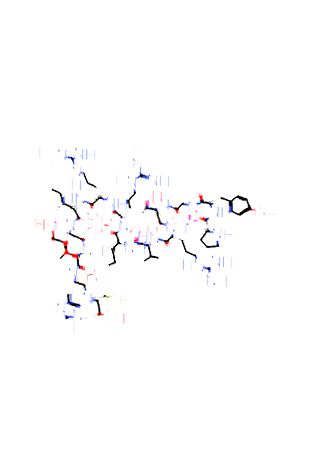 CC[C@H](C)[C@H](NC(=O)[C@H](CCCNC(=N)N)NC(=O)[C@H](CCCNC(=N)N)NC(=O)[C@@H](NC(=O)[C@@H](NC(=O)[C@H](CCCNC(=N)N)NC(=O)[C@@H](NC(=O)CNC(=O)[C@H](Cc1ccc(O)cc1)NC(=O)[C@@H]1CCCN1)[C@@H](C)O)C(C)C)[C@@H](C)CC)C(=O)N[C@@H](CC(C)C)C(=O)N[C@@H](CCC(=O)O)C(=O)N[C@@H](Cc1c[nH]cn1)C(=O)N[C@@H](CS)C(=O)O